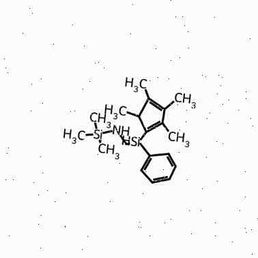 CC1=C(C)C(C)C([SiH](CN[Si](C)(C)C)c2ccccc2)=C1C